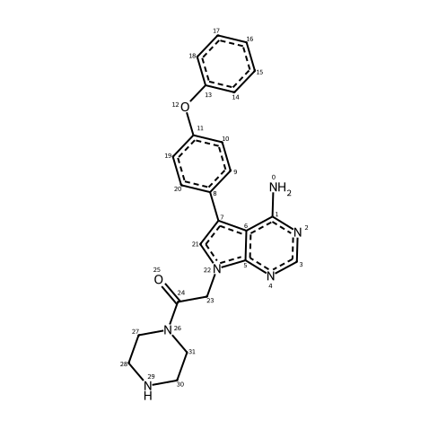 Nc1ncnc2c1c(-c1ccc(Oc3ccccc3)cc1)cn2CC(=O)N1CCNCC1